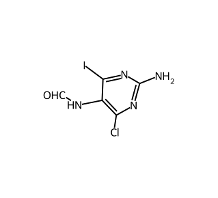 Nc1nc(Cl)c(NC=O)c(I)n1